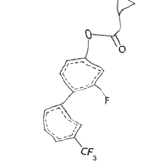 O=C(Oc1ccc(-c2cccc(C(F)(F)F)c2)c(F)c1)C1CC1